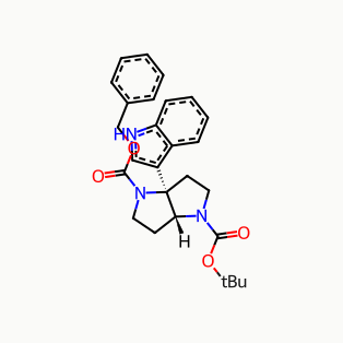 CC(C)(C)OC(=O)N1CC[C@@]2(c3c[nH]c4ccccc34)[C@H]1CCN2C(=O)OCc1ccccc1